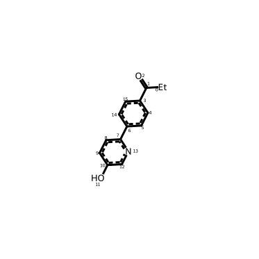 CCC(=O)c1ccc(-c2ccc(O)cn2)cc1